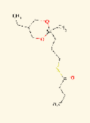 CCCC(=O)SCCC[Si]1(C)OCC(CC)CO1